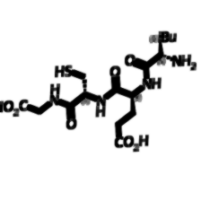 CC[C@H](C)[C@H](N)C(=O)N[C@@H](CCC(=O)O)C(=O)N[C@@H](CS)C(=O)NCC(=O)O